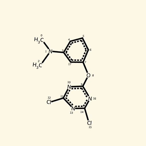 CN(C)c1cccc(Oc2nc(Cl)nc(Cl)n2)c1